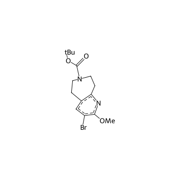 COc1nc2c(cc1Br)CCN(C(=O)OC(C)(C)C)CC2